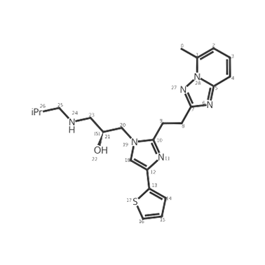 Cc1cccc2nc(CCc3nc(-c4cccs4)cn3C[C@@H](O)CNCC(C)C)nn12